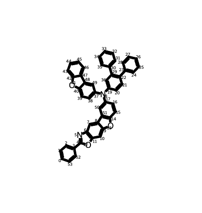 c1ccc(-c2nc3cc4c(cc3o2)oc2ccc(N(c3ccc(-c5ccccc5)c(-c5ccccc5)c3)c3ccc5oc6ccccc6c5c3)cc24)cc1